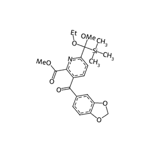 CCOC(OC)(c1ccc(C(=O)c2ccc3c(c2)OCO3)c(C(=O)OC)n1)[Si](C)(C)C